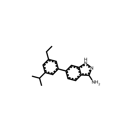 CCc1cc(-c2ccc3c(N)n[nH]c3c2)cc(C(C)C)c1